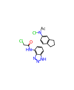 CC(=O)N(Cl)c1ccc2c(c1)CCC2.O=C(CCl)Nc1cccc2[nH]nnc12